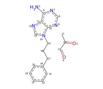 CC(=O)C=O.Nc1ncnc2c1ncn2CCCc1ccccc1